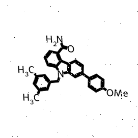 COc1ccc(-c2c[c]c3c4c(C(N)=O)cccc4n(Cc4cc(C)cc(C)c4)c3c2)cc1